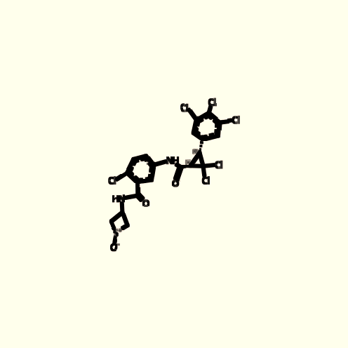 O=C(NC1C[S+]([O-])C1)c1cc(NC(=O)[C@H]2[C@H](c3cc(Cl)c(Cl)c(Cl)c3)C2(Cl)Cl)ccc1Cl